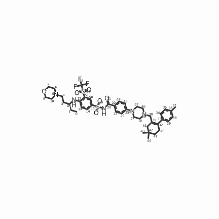 CC[C@@H](CCN1CCOCC1)Nc1ccc(S(=O)(=O)NC(=O)c2ccc(N3CCN(CC4=C(c5ccc(C)cc5)CCC(C)(C)C4)CC3)cc2)cc1S(=O)(=O)C(F)(F)F